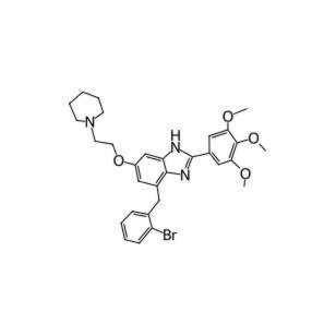 COc1cc(-c2nc3c(Cc4ccccc4Br)cc(OCCN4CCCCC4)cc3[nH]2)cc(OC)c1OC